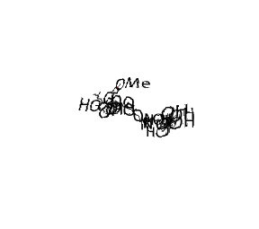 COc1ccc(-c2oc3c(CC=C(C)C)c(O)cc(O)c3c(=O)c2OC(=O)CCC(=O)OCCOCc2cn(CCO[C@H]3O[C@@H](CO)[C@H](O)[C@@H](O)[C@@H]3O)nn2)cc1